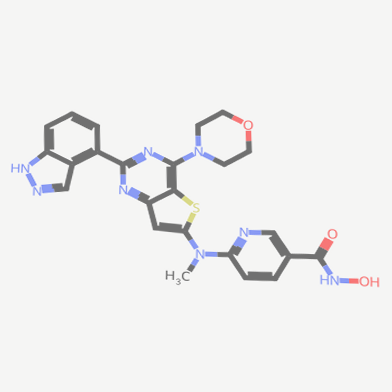 CN(c1ccc(C(=O)NO)cn1)c1cc2nc(-c3cccc4[nH]ncc34)nc(N3CCOCC3)c2s1